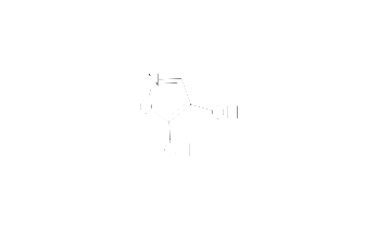 Oc1cnoc1O